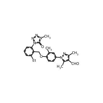 CCc1cccc(-n2nnn(C)c2=O)c1COc1ccc(-n2nc(C)c(C=O)c2C)cc1C